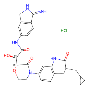 Cl.N=C1NCc2cc(NC(=O)[C@H](O)[C@H]3OCCN(c4ccc5c(c4)NC(=O)C(CC4CC4)C5)C3=O)ccc21